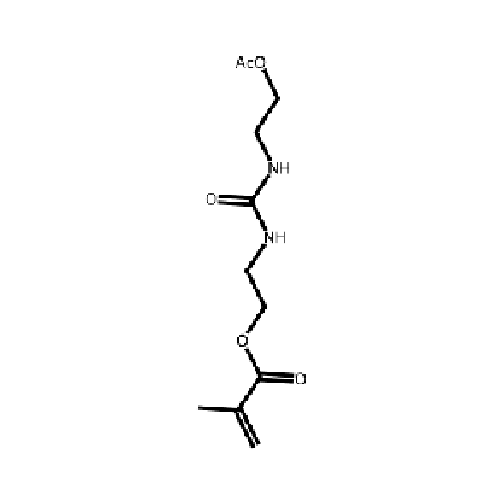 C=C(C)C(=O)OCCNC(=O)NCCOC(C)=O